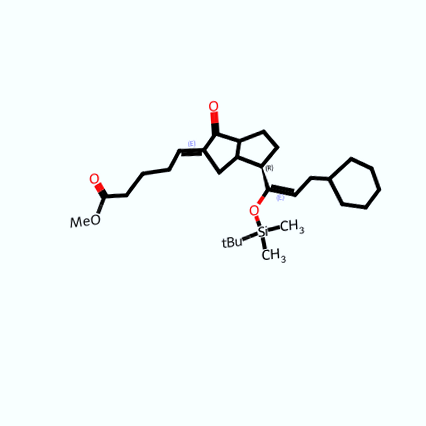 COC(=O)CCC/C=C1\CC2C(CC[C@H]2/C(=C\CC2CCCCC2)O[Si](C)(C)C(C)(C)C)C1=O